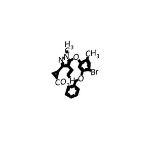 Cc1cc(Br)c(OCc2ccccc2)cc1Oc1c(C=CC(=O)O)c(C2CC2)nn1C